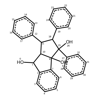 OC1c2ccccc2C2(O)C1C(c1ccccc1)C(c1ccccc1)C2(O)c1ccccc1